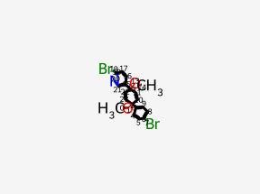 CO[C@]1(c2ccc(Br)cc2)C=C[C@@](OC)(c2ccc(Br)nc2)C=C1